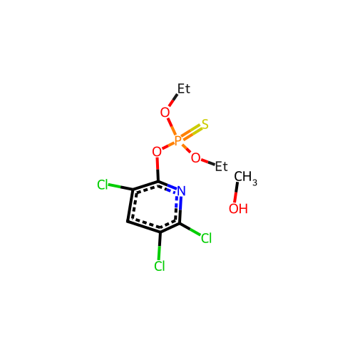 CCOP(=S)(OCC)Oc1nc(Cl)c(Cl)cc1Cl.CO